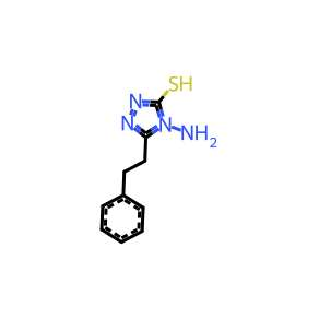 Nn1c(S)nnc1CCc1ccccc1